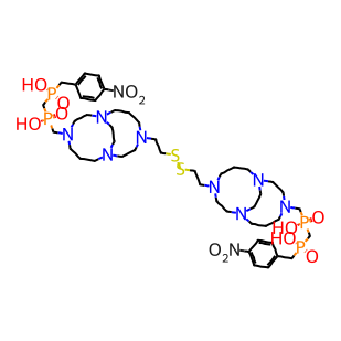 O=[N+]([O-])c1ccc(CP(=O)(O)CP(=O)(O)CN2CCCN3CCN(CCSSCCN4CCCN5CCN(CCCN(CP(=O)(O)CP(=O)(O)Cc6ccc([N+](=O)[O-])cc6)CC5)CC4)CCCN(CC3)CC2)cc1